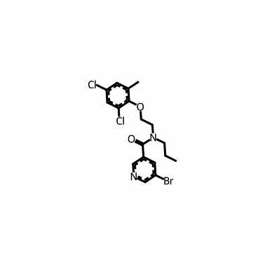 CCCN(CCOc1c(C)cc(Cl)cc1Cl)C(=O)c1cncc(Br)c1